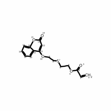 C=CC(=O)OCCSCCOc1cc(=O)oc2ccccc12